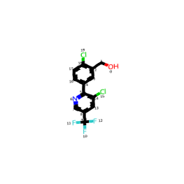 OCc1cc(-c2ncc(C(F)(F)F)cc2Cl)ccc1Cl